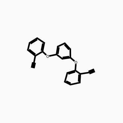 C#Cc1ccccc1Oc1cccc(Oc2ccccc2C#C)c1